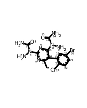 Cc1nc(N(N)C(N)=O)nc(N(N)C(N)=O)c1-c1cc(Br)ccc1Cl